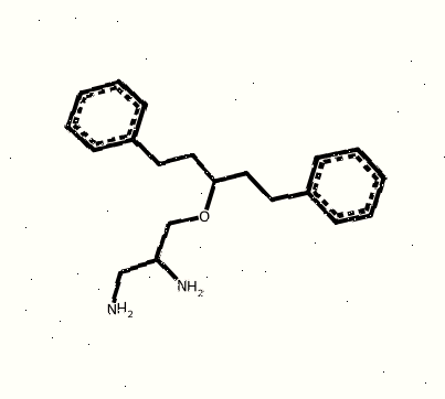 NCC(N)COC(CCc1ccccc1)CCc1ccccc1